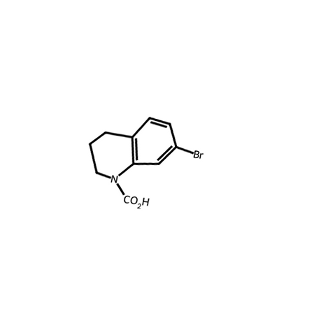 O=C(O)N1CCCc2ccc(Br)cc21